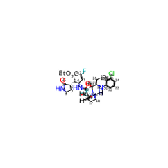 CCOC(=O)/C(F)=C\[C@H](C[C@@H]1CCNC1=O)NC(=O)[C@H]1[C@H]2CC[C@H](CC2(F)F)N1C(=O)[C@@H](CC(C)C)Nc1cccc(Cl)c1